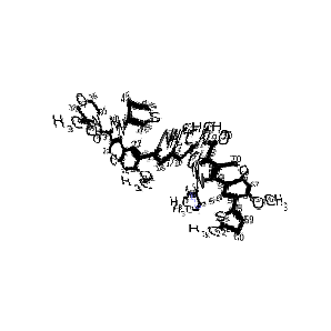 C/C=C\C(=C/C)n1nc(C(=O)N(C)C(C)(C)Cc2cc(-c3cc4c(cc3OC)OCc3c(C(=O)N5CCOCC5(C)C)nn(-c5ccsc5)c3-4)nn2C)c2c1-c1cc(-c3ccc(C)s3)c(OC)cc1OC2